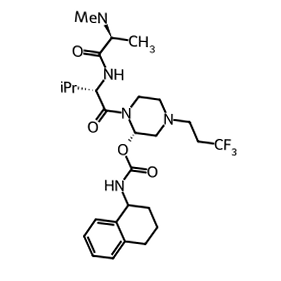 CN[C@@H](C)C(=O)N[C@H](C(=O)N1CCN(CCC(F)(F)F)C[C@@H]1OC(=O)NC1CCCc2ccccc21)C(C)C